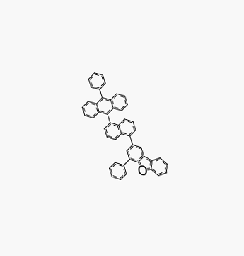 c1ccc(-c2c3ccccc3c(-c3cccc4c(-c5cc(-c6ccccc6)c6oc7ccccc7c6c5)cccc34)c3ccccc23)cc1